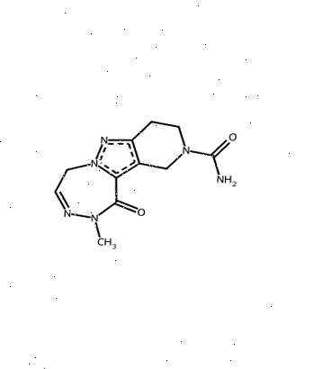 CN1N=CCn2nc3c(c2C1=O)CN(C(N)=O)CC3